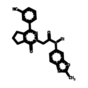 CCN(C(=O)Cn1nc(-c2cccc(C#N)c2)c2c(c1=O)CCC2)c1ccc2nc(C)oc2c1